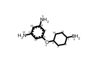 BC1CCC(Oc2cc(N)cc(N)c2)CC1